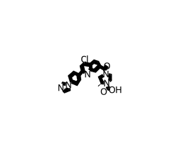 C[C@@H]1CN(C(=O)c2ccc3c(Cl)cc(-c4ccc(-n5ccnc5)cc4)nc3c2)CCN1C(=O)O